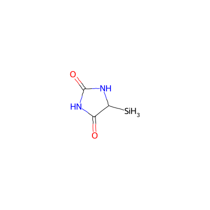 O=C1NC(=O)C([SiH3])N1